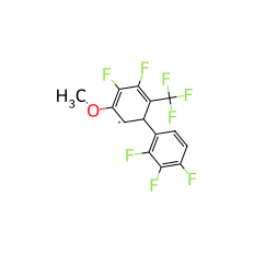 COC1=C(F)C(F)=C(C(F)(F)F)C(c2ccc(F)c(F)c2F)[CH]1